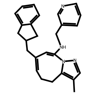 Cc1cnn2c1CC/C=C(CC1Cc3ccccc3C1)\C=C/2NCc1cccnc1